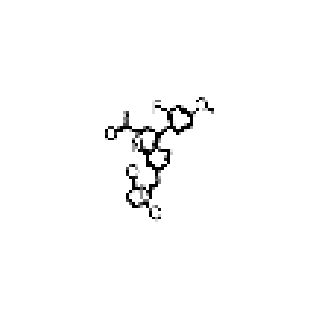 COc1ccc(-c2cc(C(C)=O)nc3cc(CN4C(=O)CCC4=O)ccc23)c(F)c1